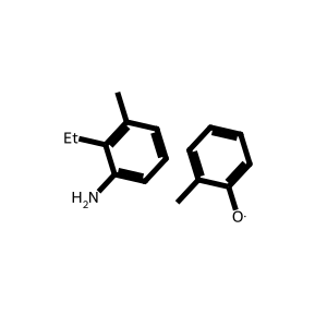 CCc1c(C)cccc1N.Cc1ccccc1[O]